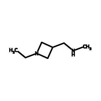 CCN1CC(CNC)C1